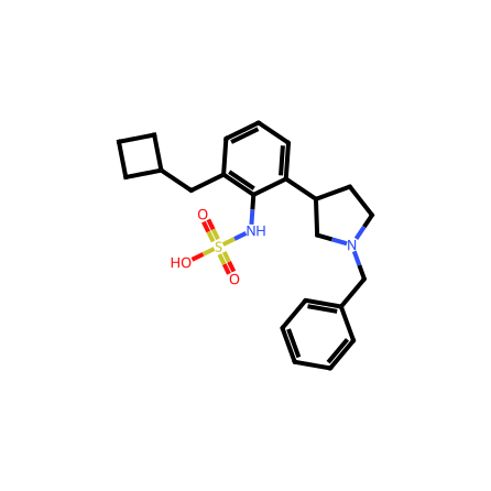 O=S(=O)(O)Nc1c(CC2CCC2)cccc1C1CCN(Cc2ccccc2)C1